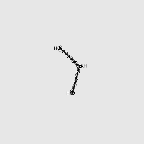 O=S(=O)(O)CCCOCCOCCOCCOCCOCCOCCOc1ccccc1OCCOCCOCCOCCOCCOCCOCCCS(=O)(=O)O.[KH]